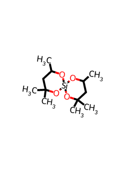 CC1CC(C)(C)O[Si]2(O1)OC(C)CC(C)(C)O2